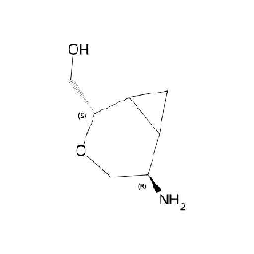 N[C@H]1CO[C@H](CO)C2CC21